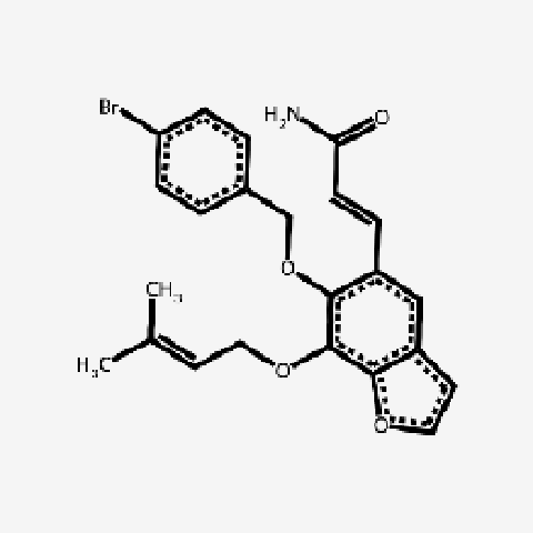 CC(C)=CCOc1c(OCc2ccc(Br)cc2)c(/C=C/C(N)=O)cc2ccoc12